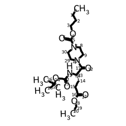 CCCCOC(=O)N1CCN(C(=O)[C@H](CCC(=O)OCC)NC(=O)OC(C)(C)C)CC1